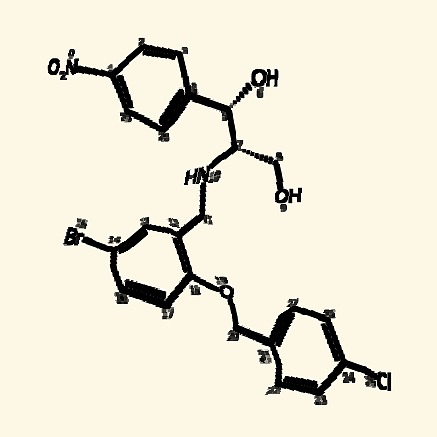 O=[N+]([O-])c1ccc([C@H](O)[C@H](CO)NCc2cc(Br)ccc2OCc2ccc(Cl)cc2)cc1